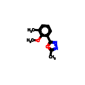 COc1c(C)cccc1-c1nnc(C)o1